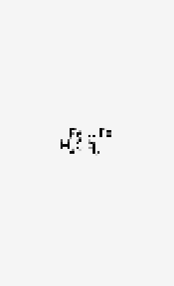 C.C.[Fe].[Fe]